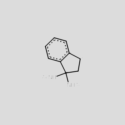 CC(=O)NC1(NC(C)=O)CCc2ccccc21